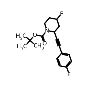 CC(C)(C)OC(=O)N1CCC(F)CC1C#Cc1ccc(F)cc1